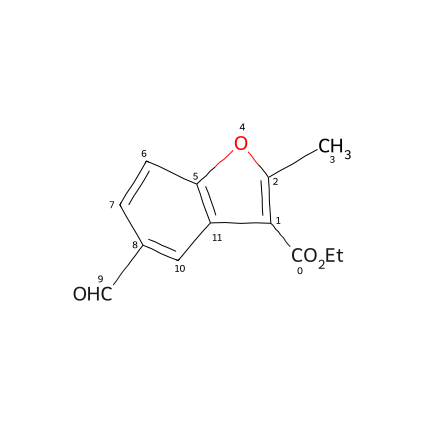 CCOC(=O)c1c(C)oc2ccc(C=O)cc12